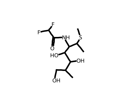 CSC(C)C(NC(=O)C(F)F)C(O)C(O)C(C)CO